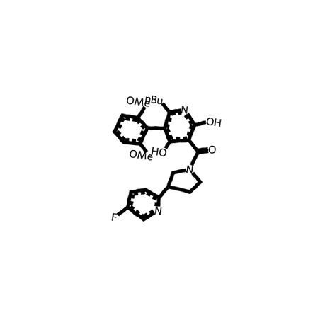 CCCCc1nc(O)c(C(=O)N2CCC(c3ccc(F)cn3)C2)c(O)c1-c1c(OC)cccc1OC